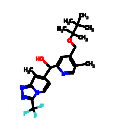 Cc1cnc(C(O)c2ccn3c(C(F)(F)F)nnc3c2C)cc1CO[Si](C)(C)C(C)(C)C